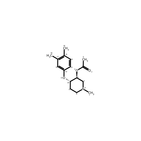 CC(=O)O[C@H]1CN(C)CC[C@@H]1Oc1ccc(C)c(C)c1